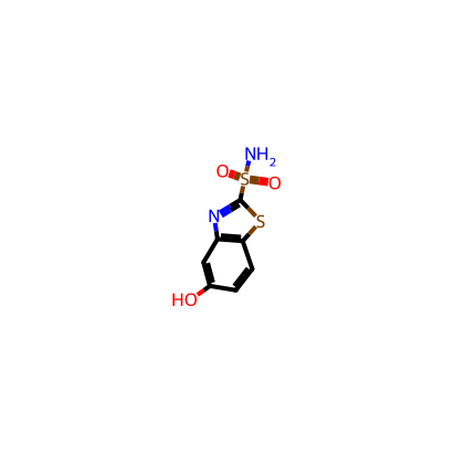 NS(=O)(=O)c1nc2cc(O)ccc2s1